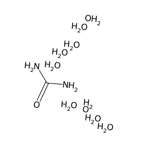 NC(N)=O.O.O.O.O.O.O.O.O.O